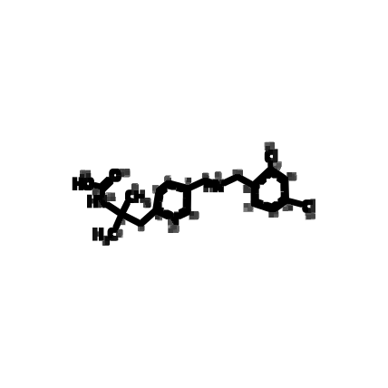 CC(C)(Cc1ccc(CNCc2ccc(Cl)cc2Cl)cn1)NC(=O)O